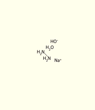 NN.O.[Na+].[OH-]